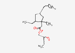 CCC1CC(CC)C(C)(C(=O)OCC(C)=O)C1